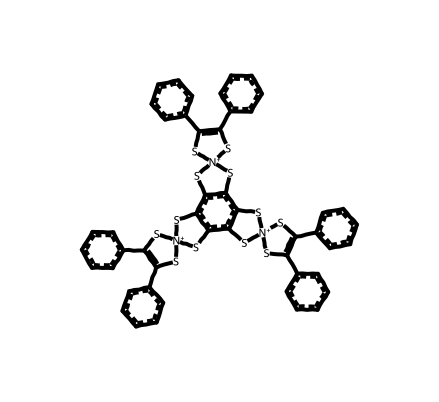 c1ccc(C2=C(c3ccccc3)S[N+]3(S2)Sc2c4c(c5c(c2S3)S[N+]2(SC(c3ccccc3)=C(c3ccccc3)S2)S5)S[N+]2(SC(c3ccccc3)=C(c3ccccc3)S2)S4)cc1